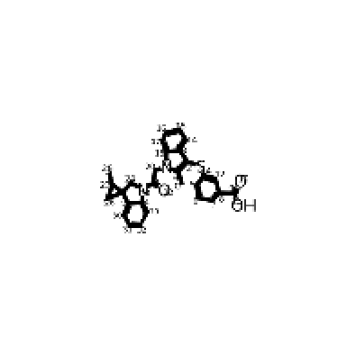 Cc1c(Sc2cccc(C(=O)O)c2)c2ccccc2n1CC(=O)N1CC2(CC2C)c2ccccc21